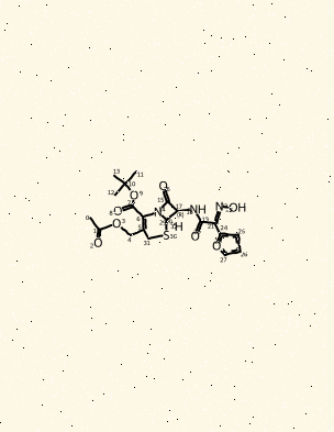 CC(=O)OCC1=C(C(=O)OC(C)(C)C)N2C(=O)[C@@H](NC(=O)C(=NO)c3ccco3)[C@H]2SC1